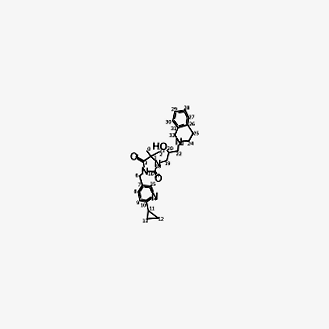 CC1(C)C(=O)N(Cc2ccc(C3CC3)nc2)C(=O)N1CC(O)CN1CCc2ccccc2C1